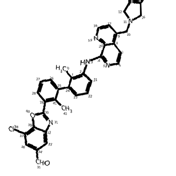 Cc1c(Nc2nccc3c(CN4CCC(O)C4)ccnc23)cccc1-c1cccc(-c2nc3cc(C=O)cc(Cl)c3o2)c1C